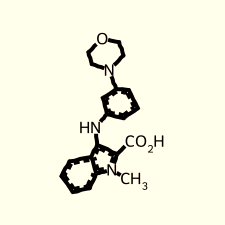 Cn1c(C(=O)O)c(Nc2cccc(N3CCOCC3)c2)c2ccccc21